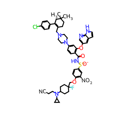 CC1(C)CCC(CN2CCN(c3ccc(C(=O)N[S+]([O-])c4ccc(OCC5(F)CCC(N(CCC#N)C6CC6)CC5)c([N+](=O)[O-])c4)c(Oc4cnc5[nH]ccc5c4)c3)CC2)=C(c2ccc(Cl)cc2)C1